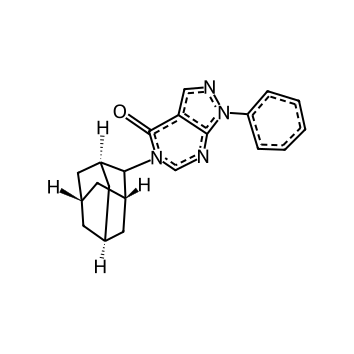 O=c1c2cnn(-c3ccccc3)c2ncn1C1[C@H]2C[C@@H]3C[C@@H](C[C@H]1C3)C2